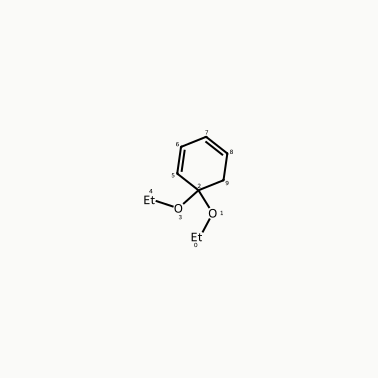 CCOC1(OCC)C=CC=CC1